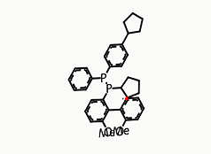 COc1ccc[c]c1-c1c(OC)cccc1P(C1CCCC1)P(c1ccccc1)c1ccc(C2CCCC2)cc1